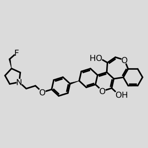 OC1=COC2=C(C=CCC2)C2=C(O)OC3=C[C@@H](c4ccc(OCCN5CC[C@@H](CF)C5)cc4)C=CC3=C12